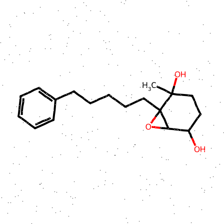 CC1(O)CCC(O)C2OC21CCCCCc1ccccc1